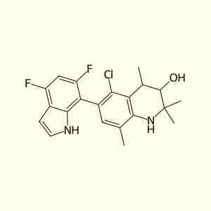 Cc1cc(-c2c(F)cc(F)c3cc[nH]c23)c(Cl)c2c1NC(C)(C)C(O)C2C